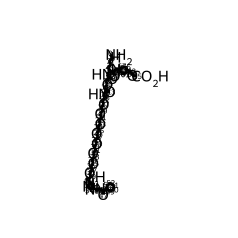 NCCCCC(NC(=O)COCC(=O)NCCOCCOCCOCCOCCOCCOCCOCCOCCn1cc(CNC(=O)C2CCCCC2)nn1)C(=O)Nc1ccc(COC(=O)O)cc1